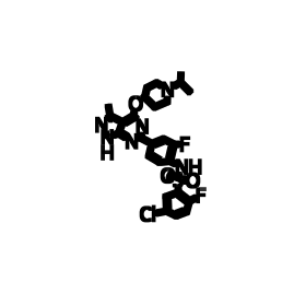 Cc1n[nH]c2nc(-c3ccc(NS(=O)(=O)c4cc(Cl)ccc4F)c(F)c3)nc(OC3CCN(C(C)C)CC3)c12